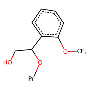 CC(C)OC(CO)c1ccccc1OC(F)(F)F